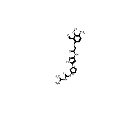 COc1c(C)ccc(OCC(=O)Nc2cc([C@H]3CC[C@@H](OC(=O)NC(C)C)C3)[nH]n2)c1C=O